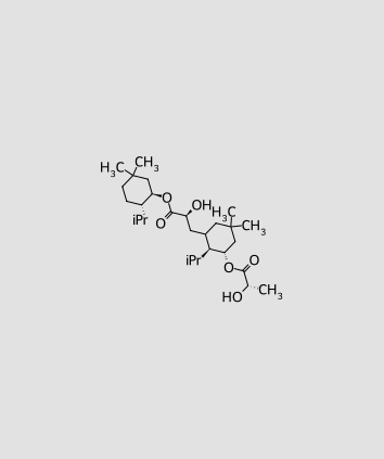 CC(C)[C@H]1C(C[C@H](O)C(=O)O[C@@H]2CC(C)(C)CC[C@H]2C(C)C)CC(C)(C)C[C@@H]1OC(=O)[C@H](C)O